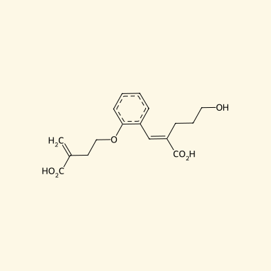 C=C(CCOc1ccccc1C=C(CCCO)C(=O)O)C(=O)O